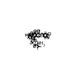 CC(C)[C@H](N)C(=O)O[C@@H](C)CN1C(=O)c2c3c(c(O)c(=O)n2[C@@]12CC[C@H]1C[C@H]12)C(=O)N(Cc1ccc(F)c(Cl)c1)CC3